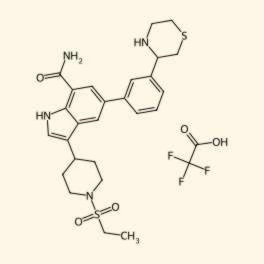 CCS(=O)(=O)N1CCC(c2c[nH]c3c(C(N)=O)cc(-c4cccc(C5CSCCN5)c4)cc23)CC1.O=C(O)C(F)(F)F